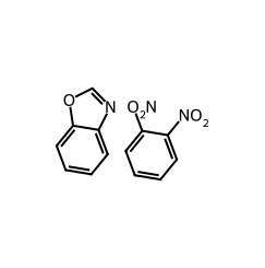 O=[N+]([O-])c1ccccc1[N+](=O)[O-].c1ccc2ocnc2c1